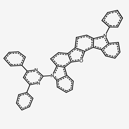 c1ccc(-c2cc(-c3ccccc3)nc(-n3c4ccccc4c4c5oc6c(ccc7c6c6ccccc6n7-c6ccccc6)c5ccc43)n2)cc1